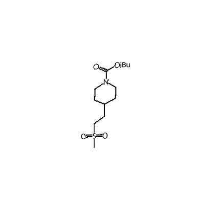 CC(C)COC(=O)N1CCC(CCS(C)(=O)=O)CC1